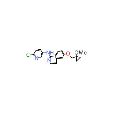 COC1(COc2ccc3c(Nc4ccc(Cl)nc4)nccc3c2)CC1